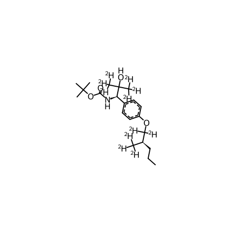 [2H]C([2H])([2H])[C@H](CCC)C([2H])([2H])Oc1ccc([C@@H](NC(=O)OC(C)(C)C)C(O)(C([2H])([2H])[2H])C([2H])([2H])[2H])cc1